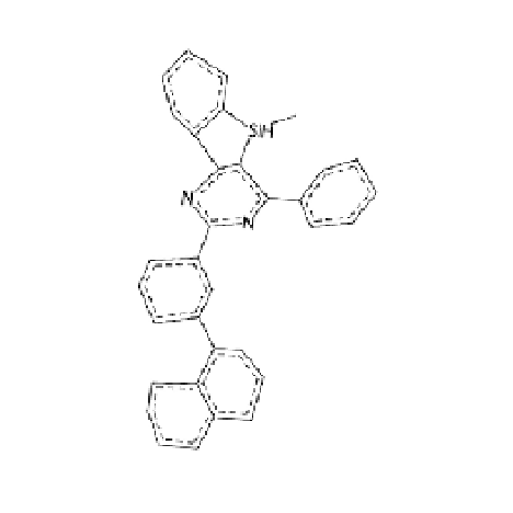 C[SiH]1c2ccccc2-c2nc(-c3cccc(-c4cccc5ccccc45)c3)nc(-c3ccccc3)c21